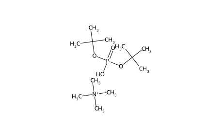 CC(C)(C)OP(=O)(O)OC(C)(C)C.C[N+](C)(C)C